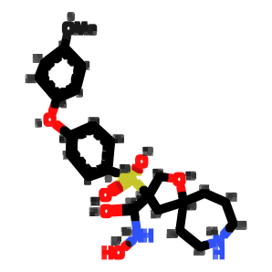 COc1ccc(Oc2ccc(S(=O)(=O)C3(C(=O)NO)COC4(CCCNCC4)C3)cc2)cc1